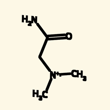 C[N+](C)CC(N)=O